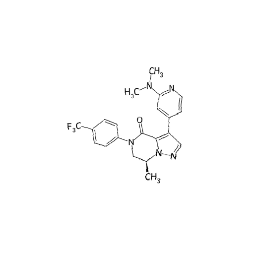 C[C@H]1CN(c2ccc(C(F)(F)F)cc2)C(=O)c2c(-c3ccnc(N(C)C)c3)cnn21